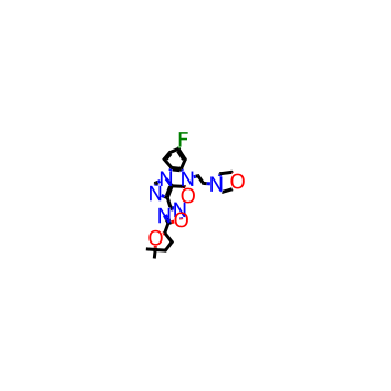 CC1(C)CCC(c2nc(-c3ncn4c3c(=O)n(CCN3CCOCC3)c3cc(F)ccc34)no2)O1